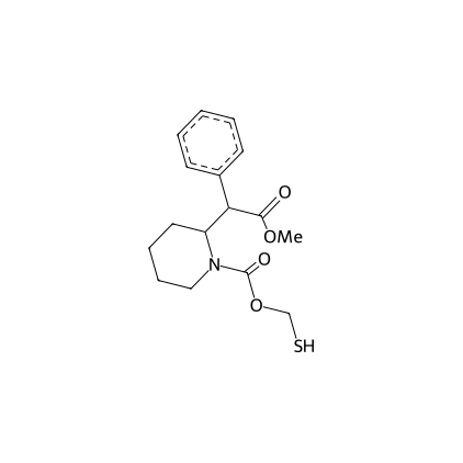 COC(=O)C(c1ccccc1)C1CCCCN1C(=O)OCS